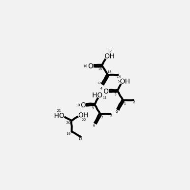 C=C(C)C(=O)O.C=C(C)C(=O)O.C=C(C)C(=O)O.CCC(O)O